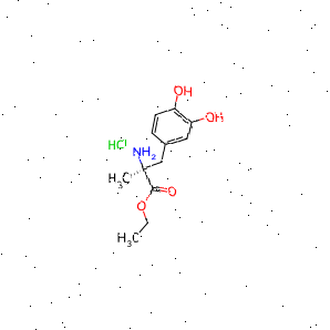 CCOC(=O)[C@@](C)(N)Cc1ccc(O)c(O)c1.Cl